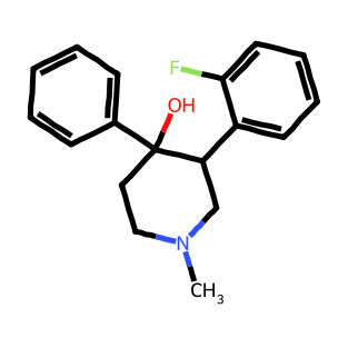 CN1CCC(O)(c2ccccc2)C(c2ccccc2F)C1